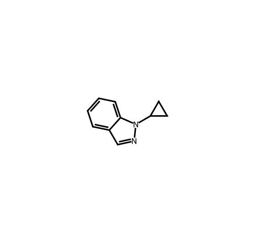 c1ccc2c(c1)cnn2C1CC1